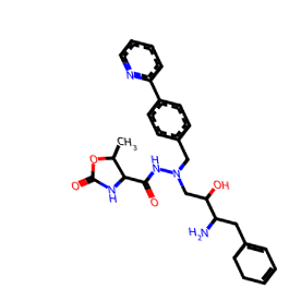 CC1OC(=O)NC1C(=O)NN(Cc1ccc(-c2ccccn2)cc1)CC(O)C(N)CC1=CC=CCC1